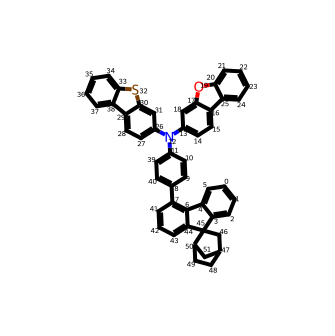 c1ccc2c(c1)-c1c(-c3ccc(N(c4ccc5c(c4)oc4ccccc45)c4ccc5c(c4)sc4ccccc45)cc3)cccc1C21CC2CCC1C2